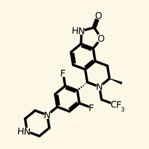 C[C@@H]1Cc2c(ccc3[nH]c(=O)oc23)[C@@H](c2c(F)cc(N3CCNCC3)cc2F)N1CC(F)(F)F